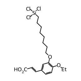 CCOc1ccc(/C=C/C(=O)O)cc1OCCCCCCCC[Si](Cl)(Cl)Cl